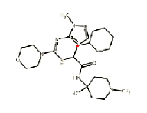 CN1CCC(C#N)(NC(=O)C(CC2CCCCC2)N/C(=N\c2ncnn2C)N2CCOCC2)CC1